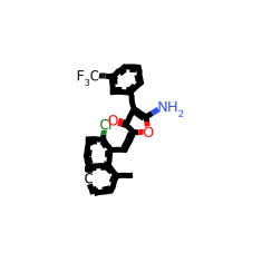 Cc1cccc2ccc(Cl)c(/C=C3/OC(N)=C(c4cccc(C(F)(F)F)c4)C3=O)c12